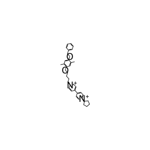 Cc1cc(OCc2ccccc2)c(C)cc1OCCCC[n+]1ccc(-c2cc[n+](C3CCCC3)cc2)cc1